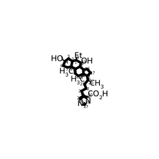 CC[C@@H]1C2C[C@H](O)CCC2(C)C2CC[C@@]3(C)C(CCC3[C@H](C)CCCc3cncnc3C(=O)O)C2[C@@H]1O